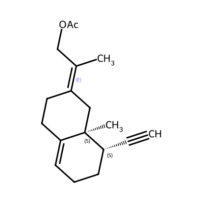 C#C[C@@H]1CCC=C2CC/C(=C(/C)COC(C)=O)C[C@]21C